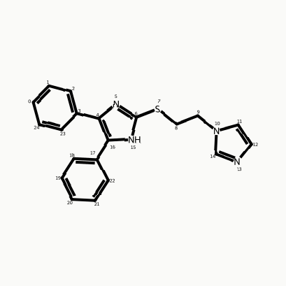 c1ccc(-c2nc(SCCn3ccnc3)[nH]c2-c2ccccc2)cc1